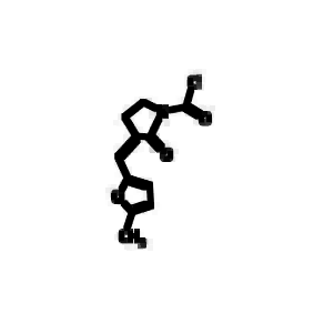 Cc1ccc(C=C2CCN(C(=O)Cl)C2=O)o1